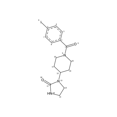 O=C(c1ccc(I)cc1)N1CCC(N2CCNC2=O)CC1